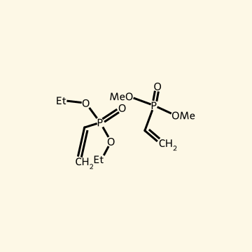 C=CP(=O)(OC)OC.C=CP(=O)(OCC)OCC